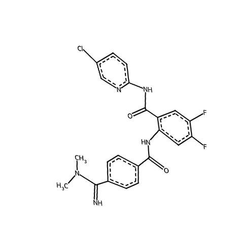 CN(C)C(=N)c1ccc(C(=O)Nc2cc(F)c(F)cc2C(=O)Nc2ccc(Cl)cn2)cc1